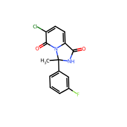 CC1(c2cccc(F)c2)NC(=O)c2ccc(Cl)c(=O)n21